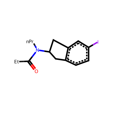 CCCN(C(=O)CC)C1Cc2ccc(I)cc2C1